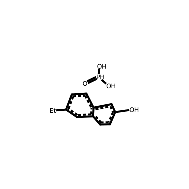 CCc1ccc2cc(O)ccc2c1.O=[PH](O)O